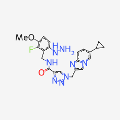 COc1ccc(NN)c(CNC(=O)c2cn(Cc3cn4cc(C5CC5)ccc4n3)nn2)c1F